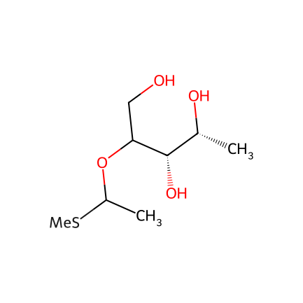 CSC(C)OC(CO)[C@@H](O)[C@@H](C)O